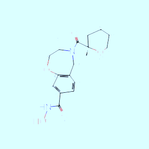 C[C@H]1COc2cc(C(=O)NO)ccc2CN1C(=O)[C@]1(C)CCCCO1